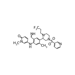 Cc1cc(Nc2ccc(=O)n(C)c2)c(C=N)cc1C1CN(S(=O)(=O)c2cccnc2)CCN1CCC(F)(F)F